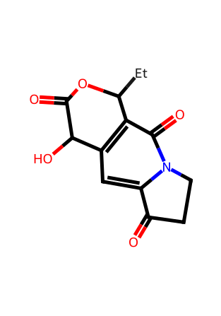 CCC1OC(=O)C(O)c2cc3n(c(=O)c21)CCC3=O